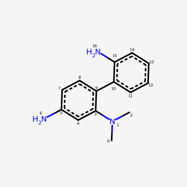 CN(C)c1cc(N)ccc1-c1ccccc1N